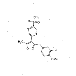 COc1ccc(Cc2noc(C)c2-c2ccc(S(N)(=O)=O)cc2)cc1Cl